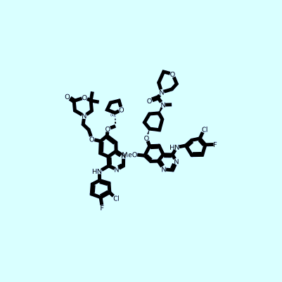 CC1(C)CN(CCOc2cc3c(Nc4ccc(F)c(Cl)c4)ncnc3cc2OC[C@@H]2CCCO2)CC(=O)O1.COc1cc2ncnc(Nc3ccc(F)c(Cl)c3)c2cc1O[C@H]1CC[C@H](N(C)C(=O)N2CCOCC2)CC1